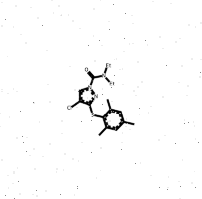 CCN(CC)C(=O)n1cc(Cl)c(Sc2c(C)cc(C)cc2C)n1